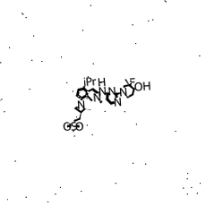 C=N/C(=C\c1c(C(C)C)ccc(N2C[C@H](CCS(C)(=O)=O)[C@H]2C)c1C)Nc1ccnc(N2CC[C@H](O)[C@@](C)(F)C2)n1